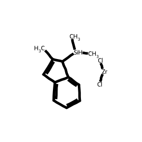 CC1=Cc2ccccc2C1[SiH](C)C.[Cl][Zr][Cl]